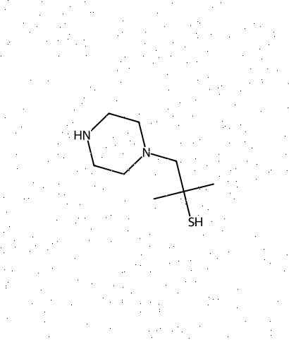 CC(C)(S)CN1CCNCC1